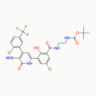 CC(C)(C)OC(=O)NCCNC(=O)c1cc(Cl)cc(-c2cc(-c3cc(C(F)(F)F)ccc3Cl)c(C#N)c(=O)[nH]2)c1O